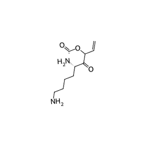 C=CC(O[C]=O)C(=O)[C@@H](N)CCCCN